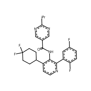 CC(C)c1ncc(C(=O)Nc2c(C3CCC(F)(F)CC3)ccnc2-c2cc(F)ccc2F)cn1